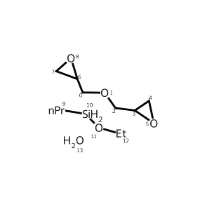 C(OCC1CO1)C1CO1.CCC[SiH2]OCC.O